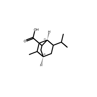 CC(C)C1C[C@@H]2CC(C(=O)O)[C@H]1CC2C